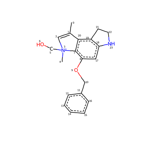 CC1=C[N+](C)(CO)c2c(OCc3ccccc3)cc3c(c21)CCN3